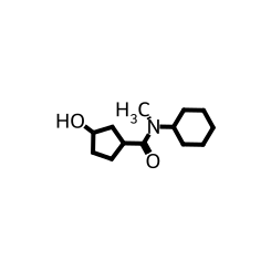 CN(C(=O)C1CCC(O)C1)C1CCCCC1